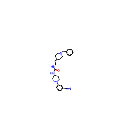 N#Cc1cccc(N2CCC(NC(=O)NCCC3CCN(Cc4ccccc4)CC3)CC2)c1